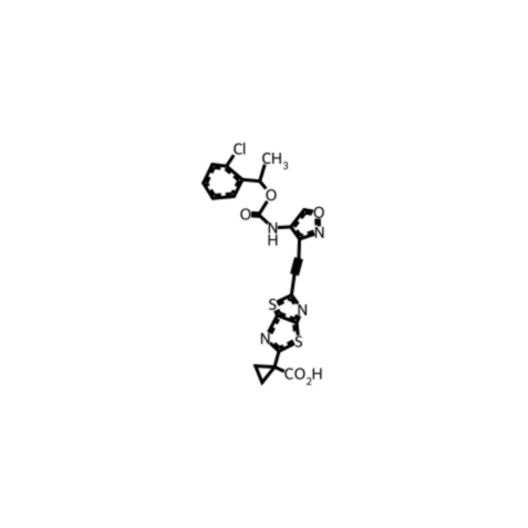 CC(OC(=O)Nc1conc1C#Cc1nc2sc(C3(C(=O)O)CC3)nc2s1)c1ccccc1Cl